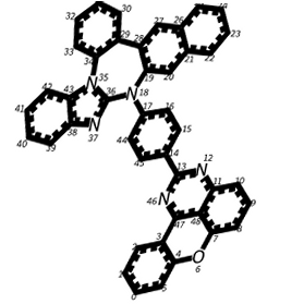 c1ccc2c(c1)Oc1cccc3nc(-c4ccc(N5c6cc7ccccc7cc6-c6ccccc6-n6c5nc5ccccc56)cc4)nc-2c13